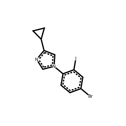 Brc1ccc(-n2cnc(C3CC3)c2)c(I)c1